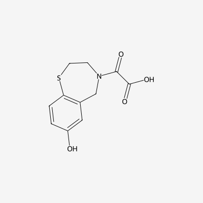 O=C(O)C(=O)N1CCSc2ccc(O)cc2C1